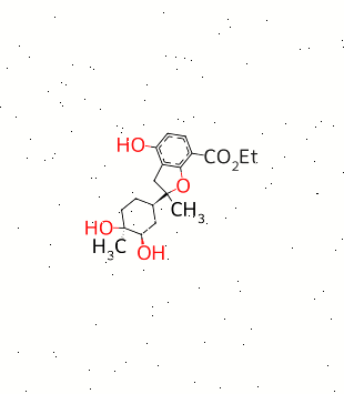 CCOC(=O)c1ccc(O)c2c1OC(C)([C@@H]1CC[C@](C)(O)[C@H](O)C1)C2